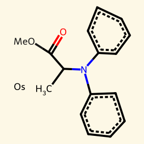 COC(=O)C(C)N(c1ccccc1)c1ccccc1.[Os]